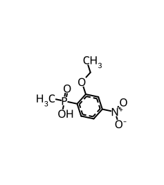 CCOc1cc([N+](=O)[O-])ccc1P(C)(=O)O